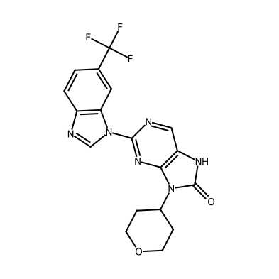 O=c1[nH]c2cnc(-n3cnc4ccc(C(F)(F)F)cc43)nc2n1C1CCOCC1